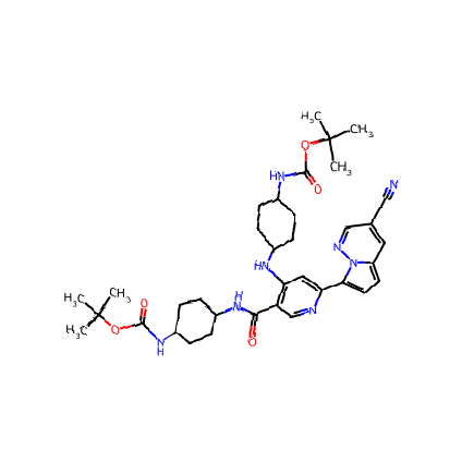 CC(C)(C)OC(=O)NC1CCC(NC(=O)c2cnc(-c3ccc4cc(C#N)cnn34)cc2NC2CCC(NC(=O)OC(C)(C)C)CC2)CC1